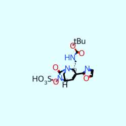 CC(C)(C)OC(=O)NC[C@@H]1C(c2ncco2)=C[C@@H]2CN1C(=O)N2OS(=O)(=O)O